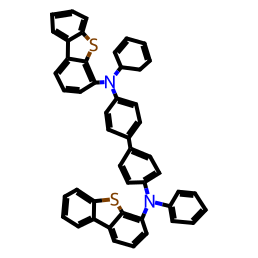 C1=CCC(N(c2ccc(-c3ccc(N(c4ccccc4)c4cccc5c4sc4ccccc45)cc3)cc2)c2cccc3c2sc2ccccc23)C=C1